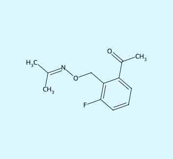 CC(=O)c1cccc(F)c1CON=C(C)C